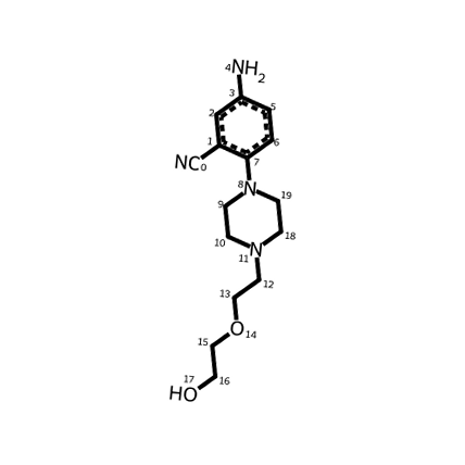 N#Cc1cc(N)ccc1N1CCN(CCOCCO)CC1